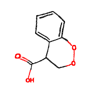 O=C(O)C1COOc2ccccc21